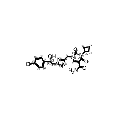 NC(=O)c1cn(Cc2nnn(C[C@H](O)c3ccc(Cl)cc3)n2)c(=O)n(C2CCC2)c1=O